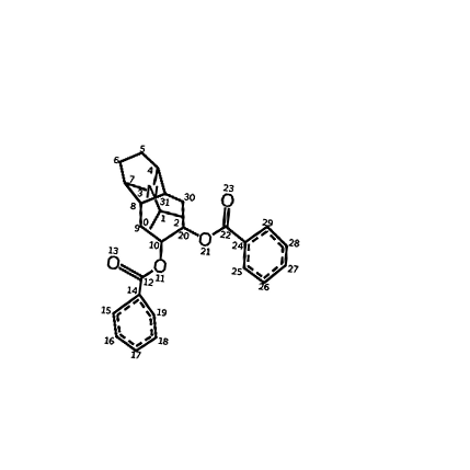 CC(C)N1C2CCC1C1CC(OC(=O)c3ccccc3)C(OC(=O)c3ccccc3)CC12